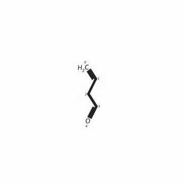 C=[C]CC=O